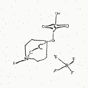 F[B-](F)(F)F.O=S(=O)(O)O[N+]12CC[N+](F)(CC1)CC2